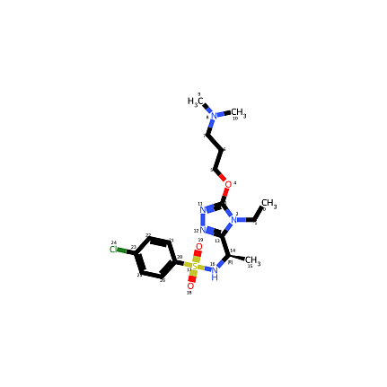 CCn1c(OCCCN(C)C)nnc1[C@@H](C)NS(=O)(=O)c1ccc(Cl)cc1